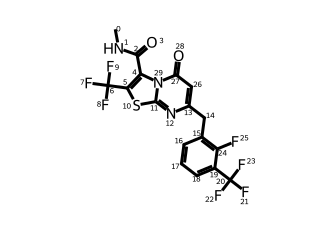 CNC(=O)c1c(C(F)(F)F)sc2nc(Cc3cccc(C(F)(F)F)c3F)cc(=O)n12